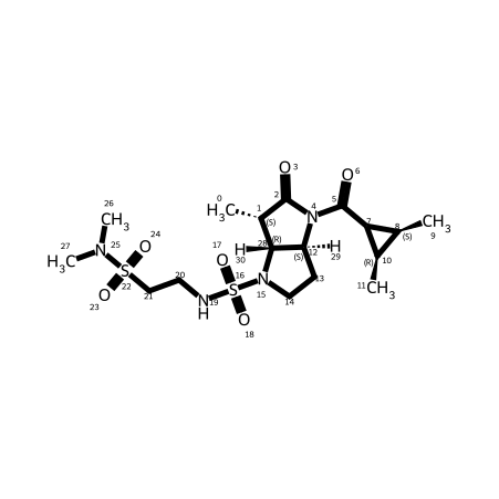 C[C@@H]1C(=O)N(C(=O)C2[C@@H](C)[C@H]2C)[C@H]2CCN(S(=O)(=O)NCCS(=O)(=O)N(C)C)[C@H]12